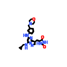 O=C1NC(=O)/C(=C/c2cnn3c(NCC4CC4)cc(Nc4cccc(CN5CCOCC5)c4)nc23)N1